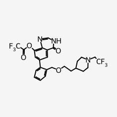 O=C(Oc1cc(-c2ccccc2COCCC2CCN(CC(F)(F)F)CC2)cc2c(=O)[nH]cnc12)C(F)(F)F